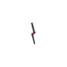 CCCCCCCCCCCCCCC(C)COCC(C)CCCCCCCCCCCCCC